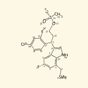 CSCc1cc(F)cc2c(C(CCOS(C)(=O)=O)c3ccc(Cl)cc3F)c[nH]c12